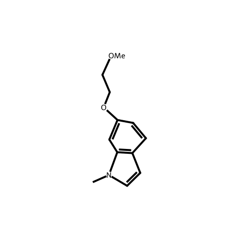 COCCOc1ccc2ccn(C)c2c1